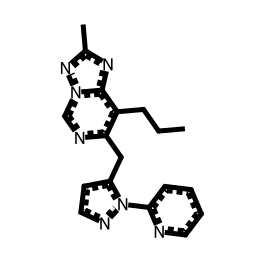 CCCc1c(Cc2ccnn2-c2ccccn2)ncn2nc(C)nc12